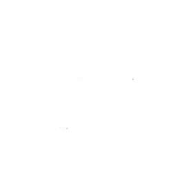 COc1ccc2c(c1)N(C(=O)OC(C)(C)C)C(C(=O)O)C2